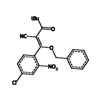 CC(C)(C)C(=O)C(C#N)=C(OCc1ccccc1)c1ccc(Cl)cc1[N+](=O)[O-]